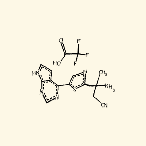 CC(N)(CC#N)c1ncc(-c2ncnc3[nH]ccc23)s1.O=C(O)C(F)(F)F